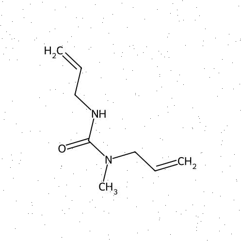 C=CCNC(=O)N(C)CC=C